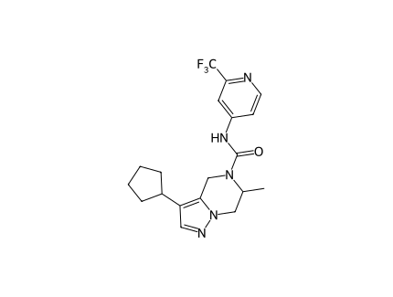 CC1Cn2ncc(C3CCCC3)c2CN1C(=O)Nc1ccnc(C(F)(F)F)c1